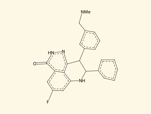 CNCc1cccc(C2c3n[nH]c(=O)c4cc(F)cc(c34)NC2c2ccccc2)c1